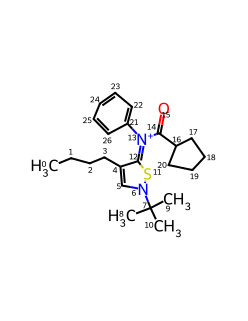 CCCCc1cn(C(C)(C)C)s/c1=[N+](\C(=O)C1CCCC1)c1ccccc1